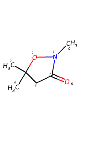 CN1OC(C)(C)CC1=O